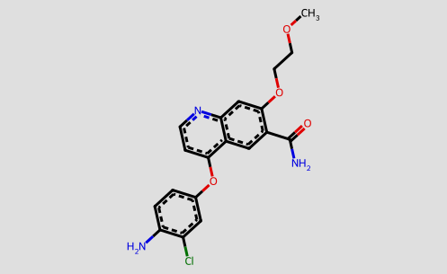 COCCOc1cc2nccc(Oc3ccc(N)c(Cl)c3)c2cc1C(N)=O